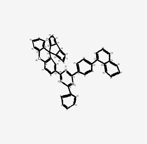 c1ccc(-c2nc(-c3ccc(-c4cccc5ccccc45)cc3)nc(-c3ccc4c(c3)C3(c5ccccc5O4)c4ccccc4-c4ccccc43)n2)cc1